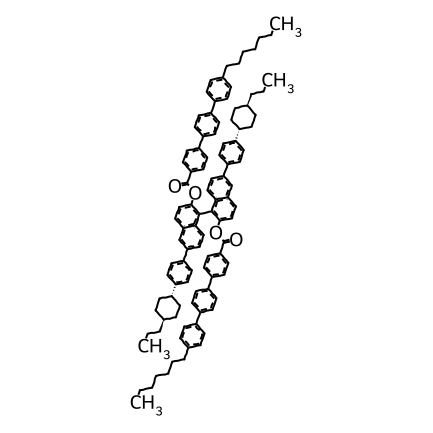 CCCCCCCc1ccc(-c2ccc(-c3ccc(C(=O)Oc4ccc5cc(-c6ccc([C@H]7CC[C@H](CCC)CC7)cc6)ccc5c4-c4c(OC(=O)c5ccc(-c6ccc(-c7ccc(CCCCCCC)cc7)cc6)cc5)ccc5cc(-c6ccc([C@H]7CC[C@H](CCC)CC7)cc6)ccc45)cc3)cc2)cc1